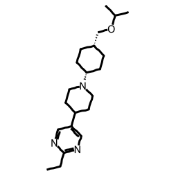 CCc1ncc(C2CCN([C@H]3CC[C@@H](COC(C)C)CC3)CC2)cn1